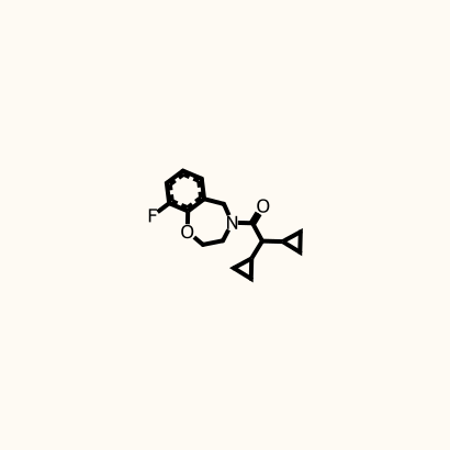 O=C(C(C1CC1)C1CC1)N1CCOc2c(F)cccc2C1